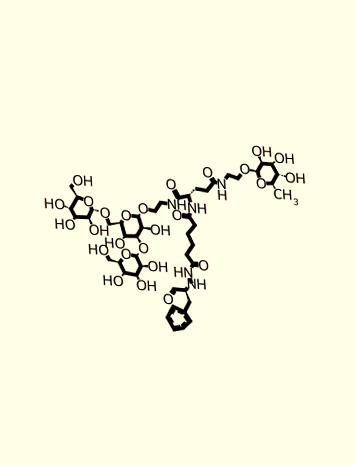 C[C@@H]1O[C@@H](OCCNC(=O)CC[C@H](NC(=O)CCCCC(=O)NN[C@H](C=O)Cc2ccccc2)C(=O)NCCO[C@H]2O[C@H](CO[C@H]3O[C@H](CO)[C@@H](O)[C@H](O)[C@@H]3O)[C@@H](O)[C@H](O[C@H]3O[C@H](CO)[C@@H](O)[C@H](O)[C@@H]3O)[C@@H]2O)[C@@H](O)[C@H](O)[C@@H]1O